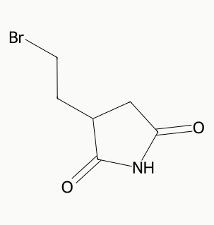 O=C1CC(CCBr)C(=O)N1